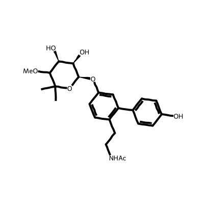 COC1[C@@H](O)[C@@H](O)[C@@H](Oc2ccc(CCNC(C)=O)c(-c3ccc(O)cc3)c2)OC1(C)C